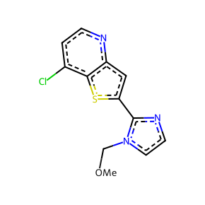 COCn1ccnc1-c1cc2nccc(Cl)c2s1